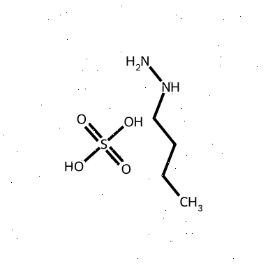 CCCCNN.O=S(=O)(O)O